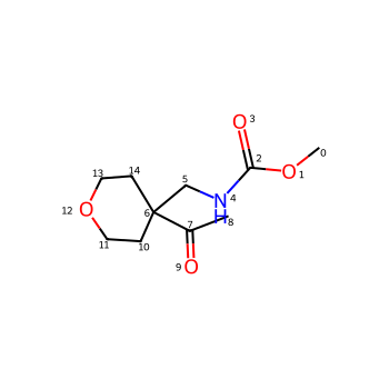 COC(=O)NCC1(C(C)=O)CCOCC1